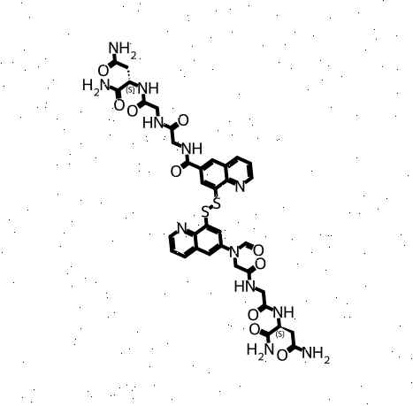 NC(=O)C[C@H](NC(=O)CNC(=O)CNC(=O)c1cc(SSc2cc(N(C=O)CC(=O)NCC(=O)N[C@@H](CC(N)=O)C(N)=O)cc3cccnc23)c2ncccc2c1)C(N)=O